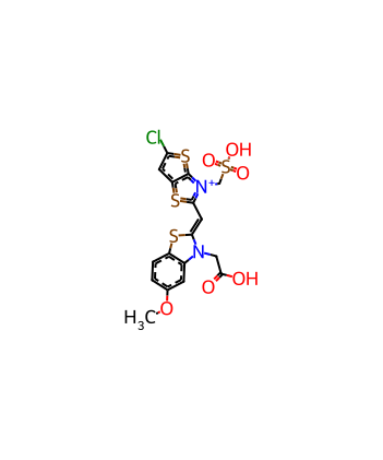 COc1ccc2c(c1)N(CC(=O)O)/C(=C/c1sc3cc(Cl)sc3[n+]1CS(=O)(=O)O)S2